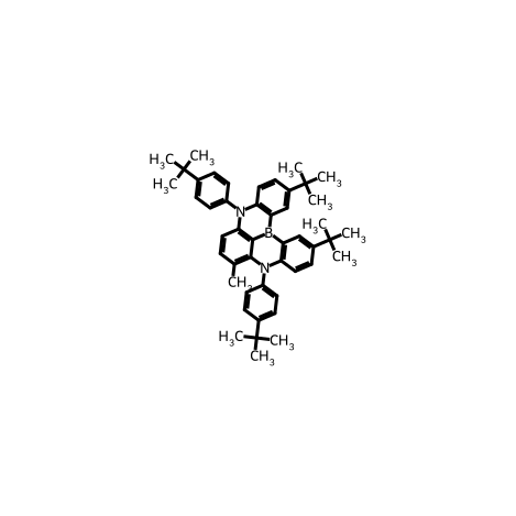 Cc1ccc2c3c1N(c1ccc(C(C)(C)C)cc1)c1ccc(C(C)(C)C)cc1B3c1cc(C(C)(C)C)ccc1N2c1ccc(C(C)(C)C)cc1